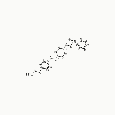 CCCc1ccc(CC[C@H]2CC[C@H](CCC(O)c3ccccc3)CC2)cc1